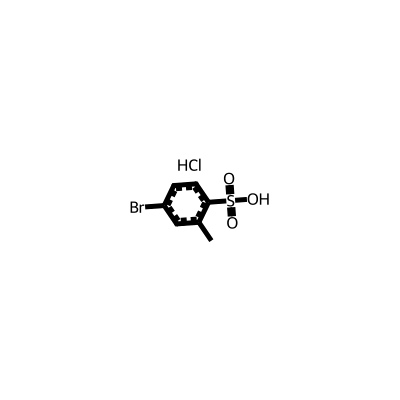 Cc1cc(Br)ccc1S(=O)(=O)O.Cl